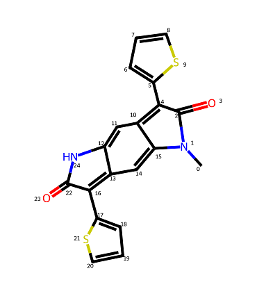 CN1C(=O)C(c2cccs2)=c2cc3c(cc21)=C(c1cccs1)C(=O)N3